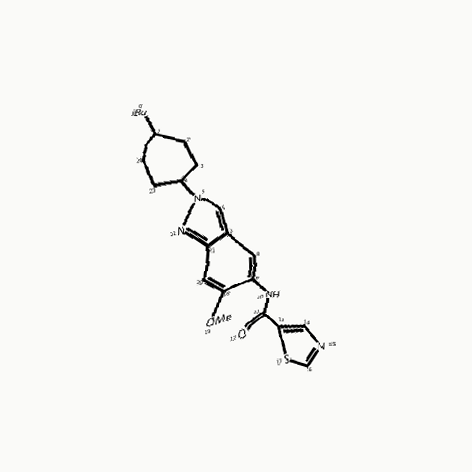 CCC(C)C1CCC(n2cc3cc(NC(=O)c4cncs4)c(OC)cc3n2)CC1